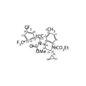 CCOC(=O)N1c2ccc(C)c(C)c2[C@@H](N(Cc2cc(C(F)(F)F)cc(C(F)(F)F)c2)C(=O)OC)C[C@H]1C1CC1